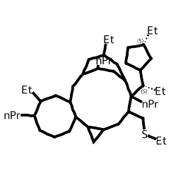 CCCC1CCCC2C(CC1CC)CC1CC(CC)CC(CC1CCC)C(CCC)([C@@H](CC)C1CC[C@H](CC)C1)C(CSCC)CC1CC12